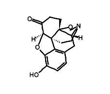 O=C1CC[C@]23OCN4CC[C@@]25c2c(ccc(O)c2O[C@@H]15)C[C@@H]43